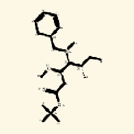 CC[C@H](C)[C@@H]([C@@H](CC(=O)OC(C)(C)C)OC)N(C)CC1C=CC=CC1